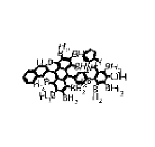 Bc1c(B)c(O)c(B)c(-c2nc3ccccc3n2-c2cccc(-c3c4c(B)c(B)c(B)c(B)c4c(-c4ccc5ccccc5c4)c4c(B)c(B)c(B)c(B)c34)c2)c1B